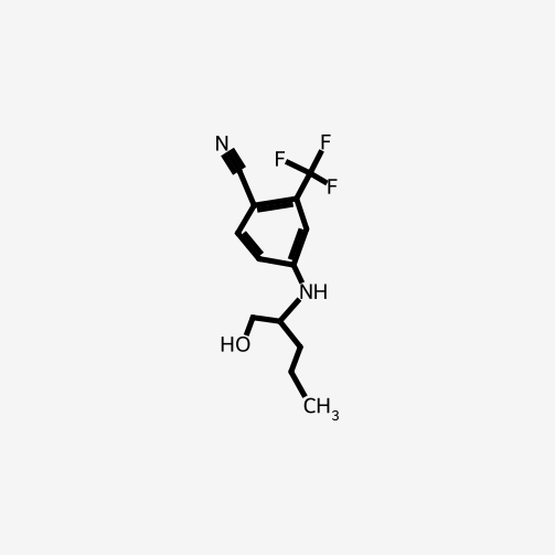 CCCC(CO)Nc1ccc(C#N)c(C(F)(F)F)c1